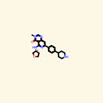 Cn1cnc2cc(-c3ccc(C4CCNCC4)cc3)nc(N[C@@H]3CCOC3)c2c1=O